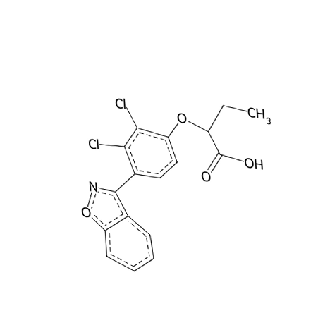 CCC(Oc1ccc(-c2noc3ccccc23)c(Cl)c1Cl)C(=O)O